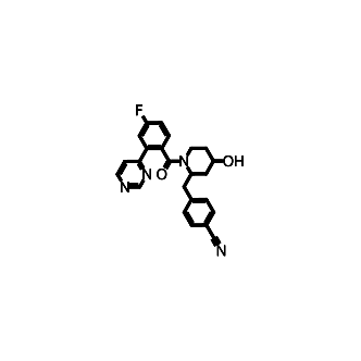 N#Cc1ccc(CC2CC(O)CCN2C(=O)c2ccc(F)cc2-c2ccncn2)cc1